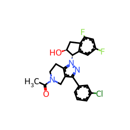 CC(=O)N1CCc2c(c(-c3cccc(Cl)c3)nn2[C@H]2c3cc(F)cc(F)c3C[C@@H]2O)C1